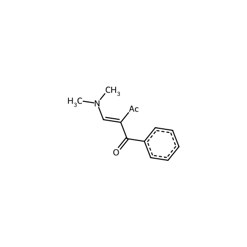 CC(=O)/C(=C\N(C)C)C(=O)c1ccccc1